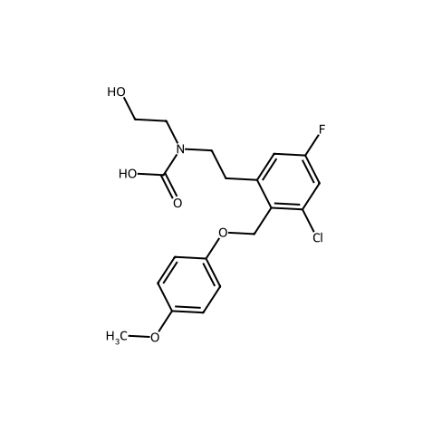 COc1ccc(OCc2c(Cl)cc(F)cc2CCN(CCO)C(=O)O)cc1